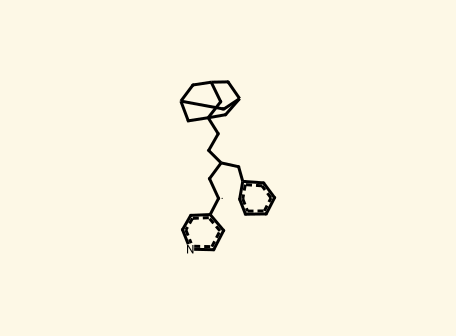 [CH](CC(CCC12CC3CC(CC(C3)C1)C2)Cc1ccccc1)c1ccncc1